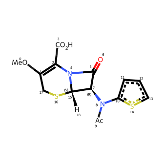 COC1=C(C(=O)O)N2C(=O)[C@@H](N(C(C)=O)c3cccs3)[C@@H]2SC1